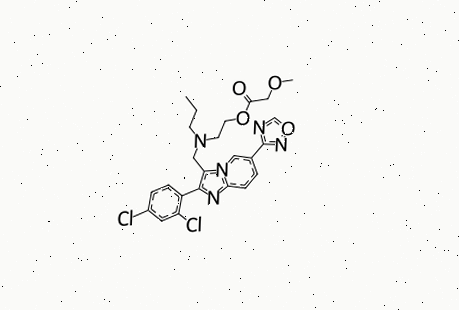 CCCN(CCOC(=O)COC)Cc1c(-c2ccc(Cl)cc2Cl)nc2ccc(-c3ncon3)cn12